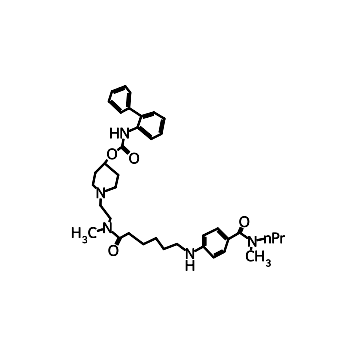 CCCN(C)C(=O)c1ccc(NCCCCCC(=O)N(C)CCN2CCC(OC(=O)Nc3ccccc3-c3ccccc3)CC2)cc1